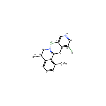 COc1cccc2c1C(Cc1c(Cl)cncc1Cl)=NCC2C(C)C